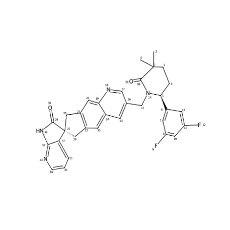 CC1(C)CC[C@@H](c2cc(F)cc(F)c2)N(Cc2cnc3cc4c(cc3c2)C[C@@]2(C4)C(=O)Nc3ncccc32)C1=O